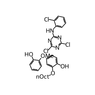 CCCCCCCCOc1ccccc1O.COc1ccccc1O.Clc1nc(Cl)nc(Nc2ccccc2Cl)n1